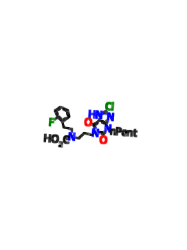 CCCCCn1c(=O)n(CCCN(CCc2ccccc2F)C(=O)O)c(=O)c2[nH]c(Cl)nc21